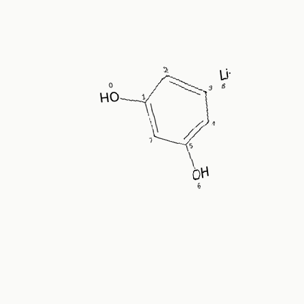 Oc1cccc(O)c1.[Li]